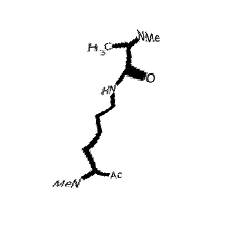 CNC(C)C(=O)NCCCCC(NC)C(C)=O